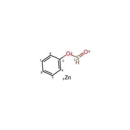 O=[SH]Oc1ccccc1.[Zn]